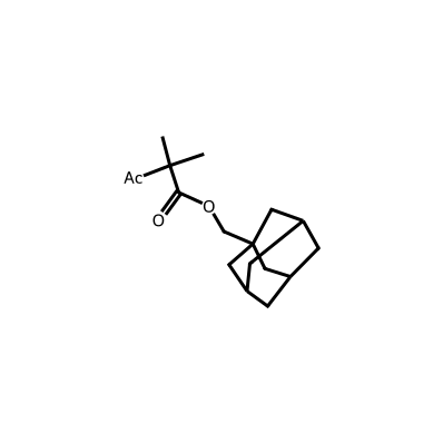 CC(=O)C(C)(C)C(=O)OCC12CC3CC(CC(C3)C1)C2